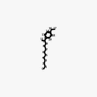 CCCCCCCCCCC(C)c1ccc(CC)cc1